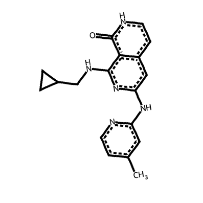 Cc1ccnc(Nc2cc3cc[nH]c(=O)c3c(NCC3CC3)n2)c1